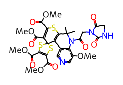 COC(=O)C1=C(C(=O)OC)SC2(S1)C(C(=O)OC)=C(C(=O)OC)SC1=C2c2cncc(OC)c2N(C(=O)CN2C(=O)CNC2=O)C1(C)C